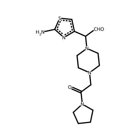 Nc1nc(C(C=O)N2CCN(CC(=O)N3CCCC3)CC2)cs1